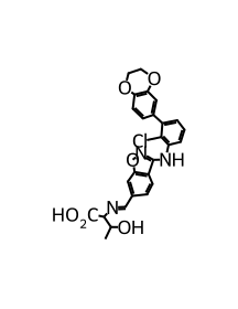 CC(O)C(N=Cc1ccc2c(Nc3cccc(-c4ccc5c(c4)OCCO5)c3Cl)noc2c1)C(=O)O